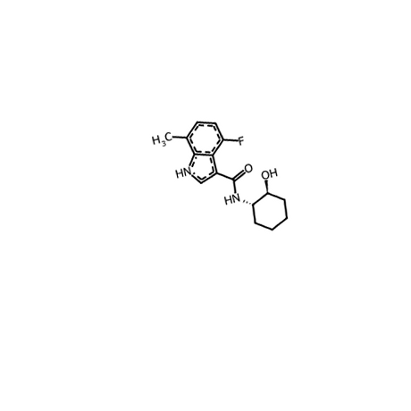 Cc1ccc(F)c2c(C(=O)N[C@H]3CCCC[C@@H]3O)c[nH]c12